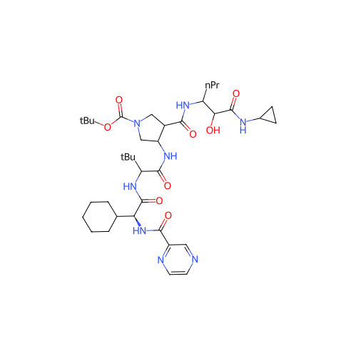 CCCC(NC(=O)C1CN(C(=O)OC(C)(C)C)CC1NC(=O)C(NC(=O)[C@@H](NC(=O)c1cnccn1)C1CCCCC1)C(C)(C)C)C(O)C(=O)NC1CC1